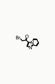 O=C(CBr)c1cnc2ccccn12